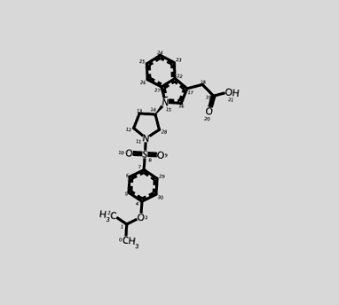 CC(C)Oc1ccc(S(=O)(=O)N2CC[C@@H](n3cc(CC(=O)O)c4ccccc43)C2)cc1